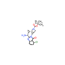 CC(C)(C)OC(=O)N1CC2C(C1)C2n1c([C@@H](N)C2CC2)nc2cccc(Cl)c2c1=O